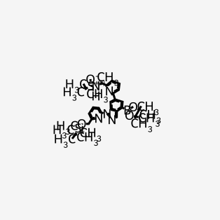 C[C@H](N[S+]([O-])C(C)(C)C)c1cccc(-c2cc(B3OC(C)(C)C(C)(C)O3)c3cnn(-c4cccc(CO[Si](C)(C)C(C)(C)C)n4)c3c2)n1